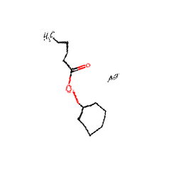 CCCC(=O)OC1CCCCC1.[Ag]